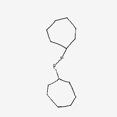 C1CCCC([P][P]C2CCCCCC2)CC1